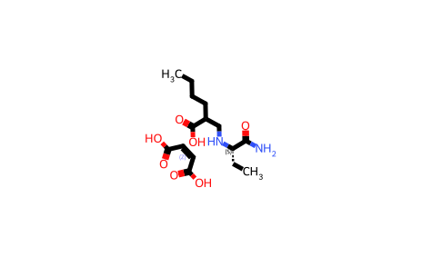 CCCCC(CN[C@@H](CC)C(N)=O)C(=O)O.O=C(O)/C=C\C(=O)O